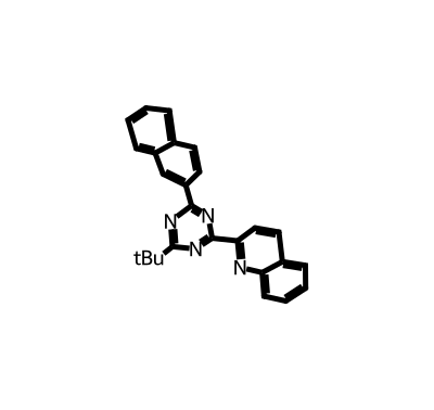 CC(C)(C)c1nc(-c2ccc3ccccc3c2)nc(-c2ccc3ccccc3n2)n1